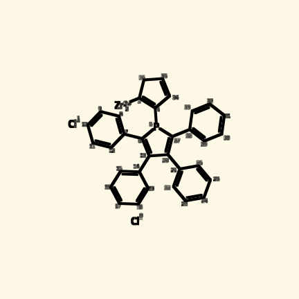 [Cl-].[Cl-].[Zr+2][C]1=C(p2c(-c3ccccc3)c(-c3ccccc3)c(-c3ccccc3)c2-c2ccccc2)C=CC1